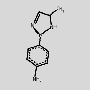 CC1C=NN(c2ccc(N)cc2)N1